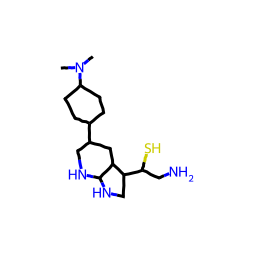 CN(C)C1CCC(C2CNC3NCC(C(S)CN)C3C2)CC1